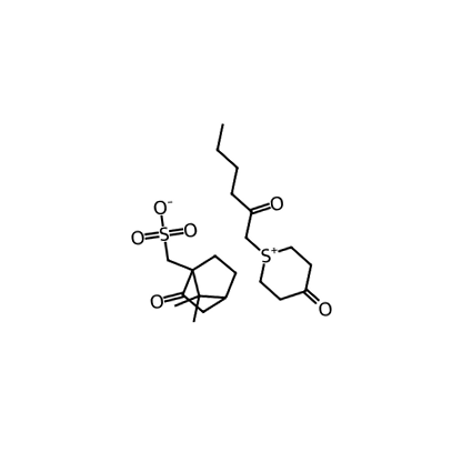 CC1(C)C2CCC1(CS(=O)(=O)[O-])C(=O)C2.CCCCC(=O)C[S+]1CCC(=O)CC1